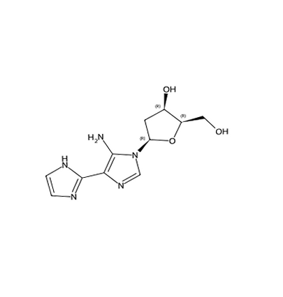 Nc1c(-c2ncc[nH]2)ncn1[C@H]1C[C@@H](O)[C@@H](CO)O1